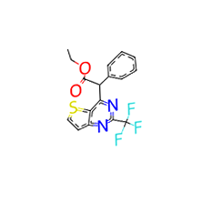 CCOC(=O)C(c1ccccc1)c1nc(C(F)(F)F)nc2ccsc12